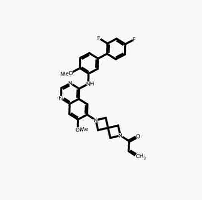 C=CC(=O)N1CC2(C1)CN(c1cc3c(Nc4cc(-c5ccc(F)cc5F)ccc4OC)ncnc3cc1OC)C2